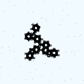 c1ccc(-n2c3ccccc3c3cc(N(c4ccc5c(c4)sc4ccccc45)c4cccc5c4ccc4oc6ccccc6c45)ccc32)cc1